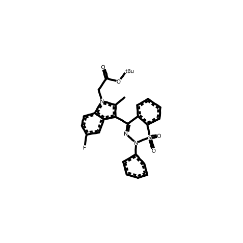 Cc1c(C2=NN(c3ccccc3)S(=O)(=O)c3ccccc32)c2cc(F)ccc2n1CC(=O)OC(C)(C)C